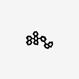 c1cc(-c2cccc3ccccc23)cc(-c2c3ccccc3c(-c3cccc4ccccc34)c3ccccc23)c1